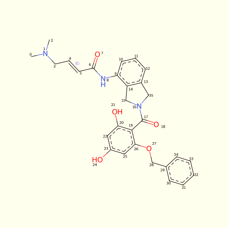 CN(C)C/C=C/C(=O)Nc1cccc2c1CN(C(=O)c1c(O)cc(O)cc1OCc1ccccc1)C2